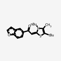 CCCCN1C(=CC(=O)c2ccc3occc3c2)SC(C(C)(C)C)=C1C